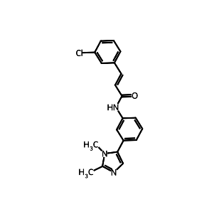 Cc1ncc(-c2cccc(NC(=O)C=Cc3cccc(Cl)c3)c2)n1C